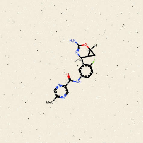 COc1cnc(C(=O)Nc2ccc(F)c([C@@]3(C)N=C(N)O[C@@H]4CC43)c2)cn1